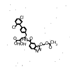 CC(=O)OCOn1nnc2ccc(C(=O)N[C@H](Cc3ccc(-c4cc(Cl)ccc4Cl)cc3)C[C@@H](O)C(=O)O)cc21